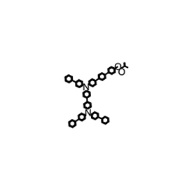 C=C(C)C(=O)Oc1ccc(-c2ccc(-c3ccc(N(c4ccc(-c5ccccc5)cc4)c4ccc(-c5ccc(N(c6ccc(-c7ccccc7)cc6)c6ccc(-c7ccccc7)cc6)cc5)cc4)cc3)cc2)cc1